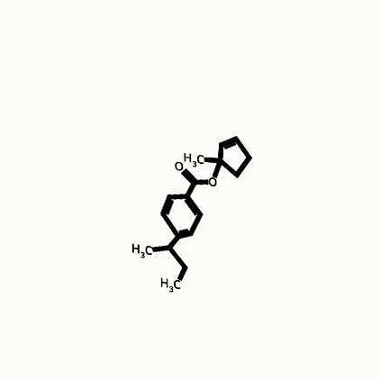 CCC(C)c1ccc(C(=O)OC2(C)C=CCC2)cc1